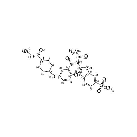 CC(C)(C)OC(=O)N1CCC(Oc2ccc(Cl)c(C(=O)N(C(N)=O)c3nc4ccc(S(C)(=O)=O)cc4s3)c2)CC1